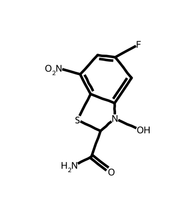 NC(=O)C1Sc2c(cc(F)cc2[N+](=O)[O-])N1O